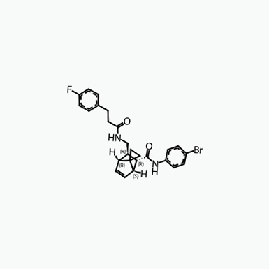 O=C(CCc1ccc(F)cc1)NC[C@H]1[C@H](C(=O)Nc2ccc(Br)cc2)[C@@H]2C=C[C@H]1C21CC1